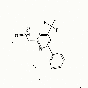 Cc1cccc(-c2cc(C(F)(F)F)nc(C[SH](=O)=O)n2)c1